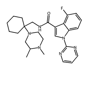 CC1CN(C2(CNC(=O)c3cn(-c4ncccn4)c4cccc(F)c34)CCCCC2)CCN1C